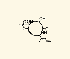 C=CC=C(C)C1CC=CC(OC(C)=O)C(C)(O)CCC(O)CC(=O)N1